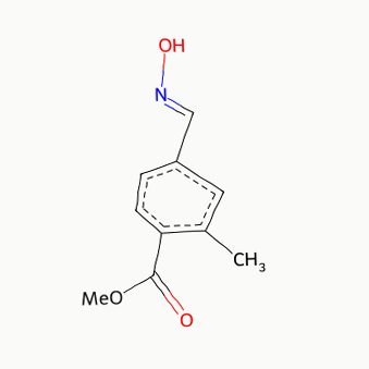 COC(=O)c1ccc(/C=N/O)cc1C